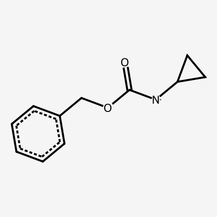 O=C([N]C1CC1)OCc1ccccc1